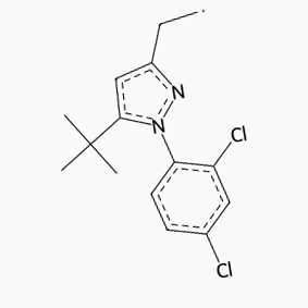 [CH2]Cc1cc(C(C)(C)C)n(-c2ccc(Cl)cc2Cl)n1